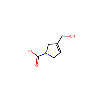 O=C(O)N1CC=C(CO)C1